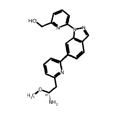 CO[C@@H](N)Cc1cccc(-c2ccc3cnn(-c4cccc(CO)n4)c3c2)n1